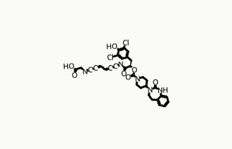 O=C(O)CN=C=C=CC=C=C=NC(=O)[C@@H](Cc1cc(Cl)c(O)c(Cl)c1)OC(=O)N1CCC(N2CCc3ccccc3NC2=O)CC1